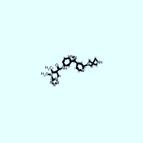 CC1=C(C(=O)Nc2ccc3[nH]nc(-c4ccnc(N5CC6(CNC6)C5)c4)c3c2)Cn2nnnc2N1C